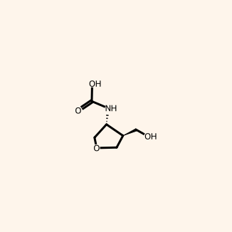 O=C(O)N[C@H]1COC[C@@H]1CO